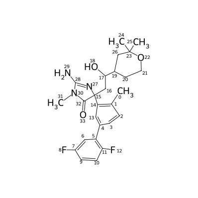 Cc1ccc(-c2cc(F)ccc2F)cc1C1(CC(O)C2CCOC(C)(C)C2)N=C(N)N(C)C1=O